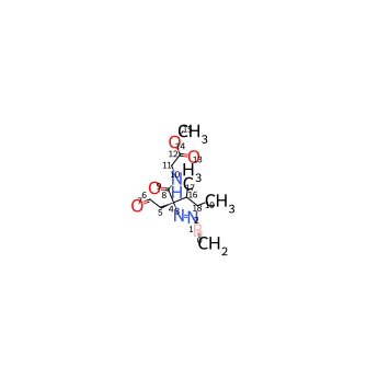 C=BN=N[C@](CC=O)(C(=O)NCC(=O)OC)C(C)CC